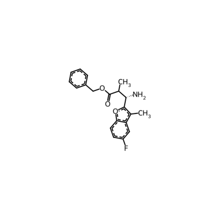 Cc1c([C@@H](N)C(C)C(=O)OCc2ccccc2)oc2ccc(F)cc12